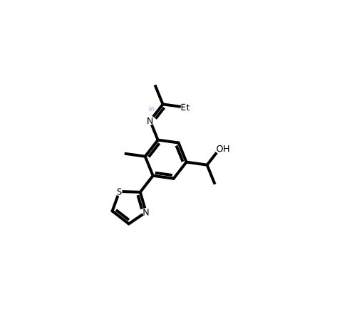 CC/C(C)=N\c1cc(C(C)O)cc(-c2nccs2)c1C